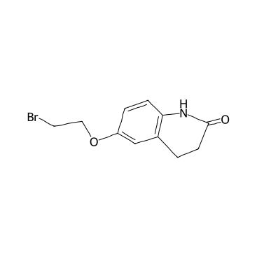 O=C1CCc2cc(OCCBr)ccc2N1